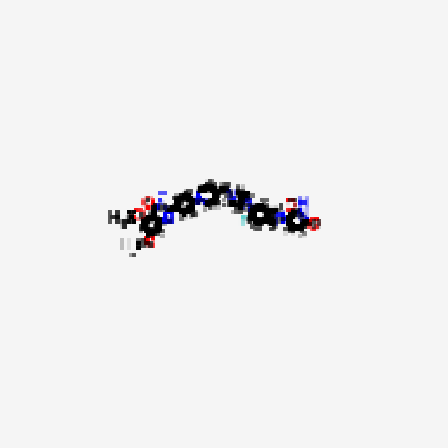 COc1cc(OC)c2c(=O)[nH]c(-c3ccc(N4CCC(CN5CC6CC5CN6c5cc6cn(C7CCC(=O)NC7=O)cc6cc5F)CC4)cc3)nc2c1